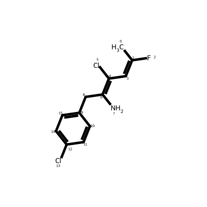 C/C(F)=C\C(Cl)=C(/N)Cc1ccc(Cl)cc1